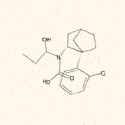 CCC(O)N(C(=O)O)[C@@H]1CC2CC[C@]1(c1ccccc1Cl)C2